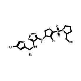 CC[C@@H](Nc1nsnc1NC1CSC(S(=O)(=O)N2CCCC2CO)=C1O)c1cc(C)co1